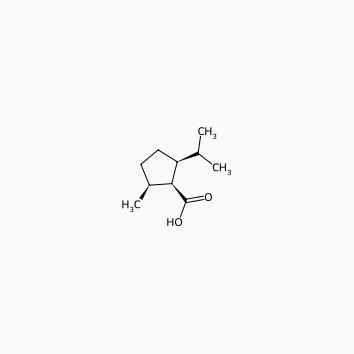 CC(C)[C@@H]1CC[C@H](C)[C@@H]1C(=O)O